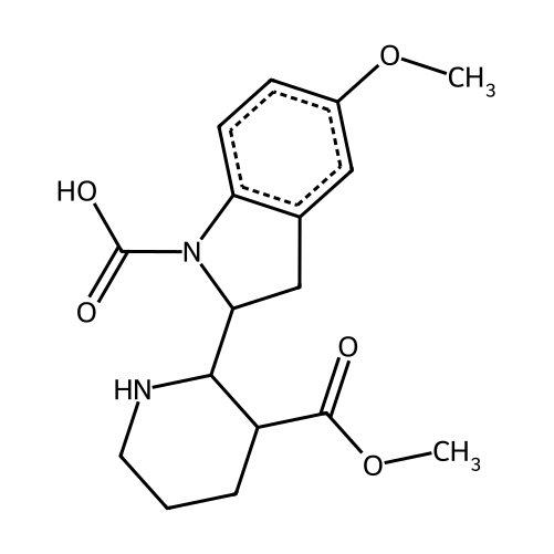 COC(=O)C1CCCNC1C1Cc2cc(OC)ccc2N1C(=O)O